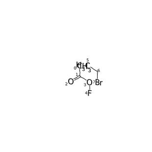 CC(=O)OF.CCBr